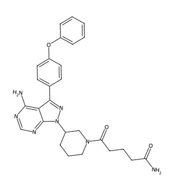 NC(=O)CCCC(=O)N1CCCC(n2nc(-c3ccc(Oc4ccccc4)cc3)c3c(N)ncnc32)C1